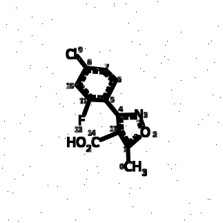 Cc1onc(-c2ccc(Cl)cc2F)c1C(=O)O